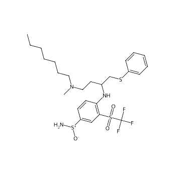 CCCCCCCN(C)CCC(CSc1ccccc1)Nc1ccc([S+](N)[O-])cc1S(=O)(=O)C(F)(F)F